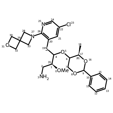 CO[C@@H](CN)C(OC1COC(c2ccccc2)O[C@@H]1C)Sc1cc(Cl)cnc1N1CC2(COC2)C1